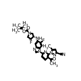 CC(=O)c1ccc(-n2cnc3cc(N[C@H]4CN(C(=O)OC(C)(C)C)C[C@H]4F)c(F)cc32)nc1-n1nc(C#N)cc1C